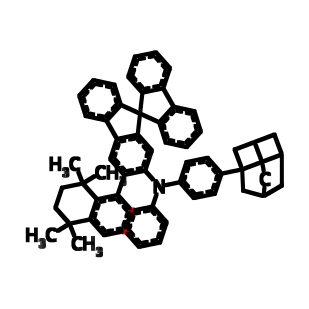 CC1(C)CCC(C)(C)c2c(-c3cc4c(cc3N(c3ccccc3)c3ccc(C56CC7CC8CC(C5)C86C7)cc3)C3(c5ccccc5-c5ccccc53)c3ccccc3-4)cccc21